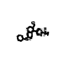 O=Cc1cnc2cc(Nc3ccccc3)ccc2c1-c1cnc(C(F)(F)F)nc1